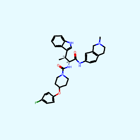 C[C@@H](c1c[nH]c2ccccc12)[C@@H](NC(=O)N1CCC(Oc2ccc(F)cc2)CC1)C(=O)Nc1ccc2c(c1)CN(C)CC2